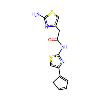 Nc1nc(CC(=O)Nc2nc(C3=CC=CC3)cs2)cs1